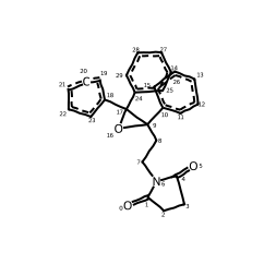 O=C1CCC(=O)N1CCC1(c2ccccc2)OC1(c1ccccc1)c1ccccc1